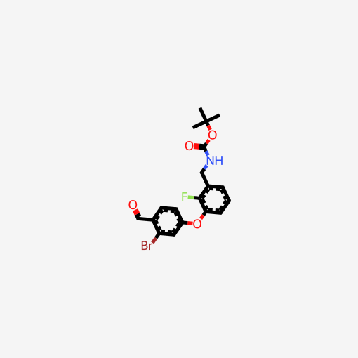 CC(C)(C)OC(=O)NCc1cccc(Oc2ccc(C=O)c(Br)c2)c1F